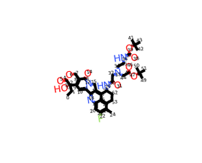 CC[C@@]1(O)C(=O)OCc2c1cc1n(c2=O)Cc2c-1nc1cc(F)c(C)c3c1c2C(NC(=O)CN(CCNC(=O)OC(C)(C)C)CC(=O)OC(C)(C)C)CC3